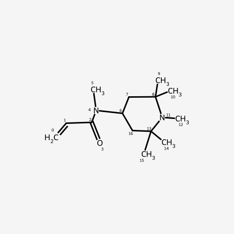 C=CC(=O)N(C)C1CC(C)(C)N(C)C(C)(C)C1